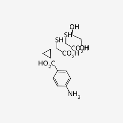 C1CC1.Nc1ccc(C(=O)O)cc1.O=C(O)CS.O=C(O)CS.OCCO